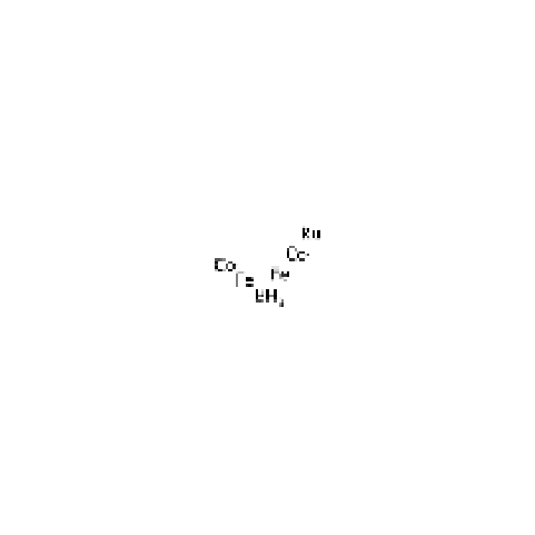 B.[Co].[Co].[Fe].[Fe].[Ru]